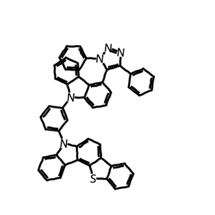 c1ccc(-c2nnn(-c3ccccc3)c2-c2cccc3c2c2ccccc2n3-c2cccc(-n3c4ccccc4c4c5sc6ccccc6c5ccc43)c2)cc1